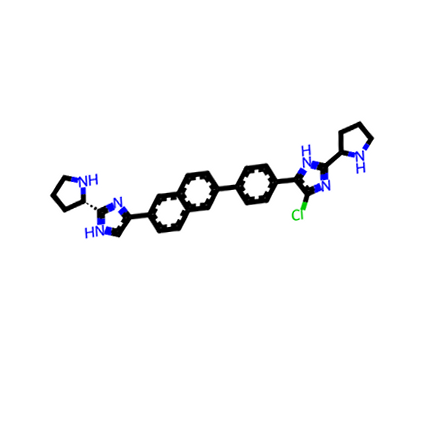 Clc1nc(C2CCCN2)[nH]c1-c1ccc(-c2ccc3cc(-c4c[nH]c([C@@H]5CCCN5)n4)ccc3c2)cc1